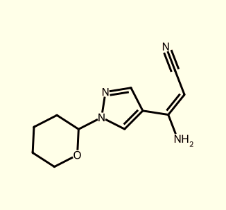 N#C/C=C(/N)c1cnn(C2CCCCO2)c1